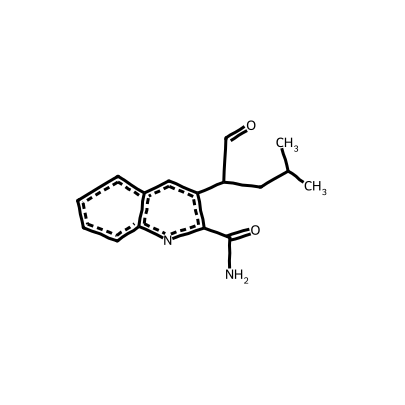 CC(C)CC(C=O)c1cc2ccccc2nc1C(N)=O